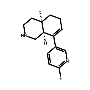 Fc1ccc(C2=CCC[C@@H]3CCNC[C@H]23)cn1